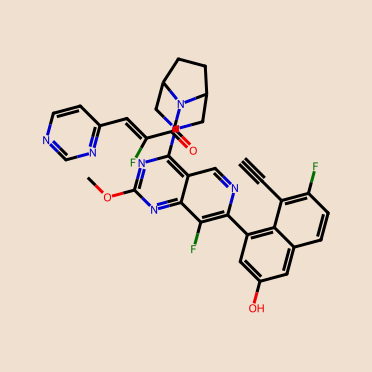 C#Cc1c(F)ccc2cc(O)cc(-c3ncc4c(N5CC6CCC(C5)N6C(=O)/C(F)=C/c5ccncn5)nc(OC)nc4c3F)c12